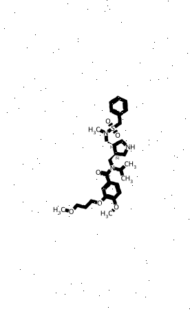 COCCCOc1cc(C(=O)N(C[C@@H]2CNC[C@H]2CN(C)S(=O)(=O)Cc2ccccc2)C(C)C)ccc1OC